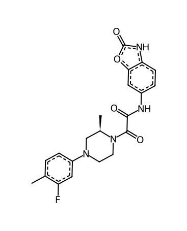 Cc1ccc(N2CCN(C(=O)C(=O)Nc3ccc4[nH]c(=O)oc4c3)[C@H](C)C2)cc1F